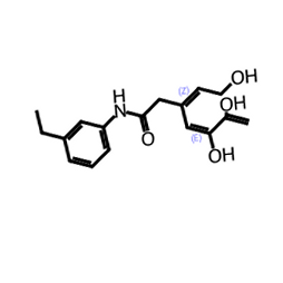 C=C(O)/C(O)=C\C(=C/CO)CC(=O)Nc1cccc(CC)c1